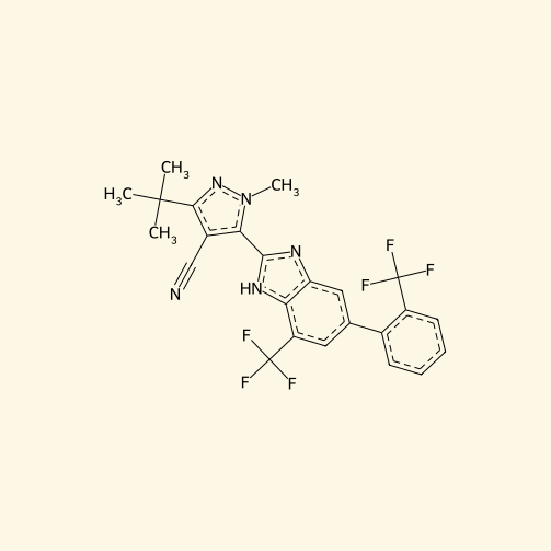 Cn1nc(C(C)(C)C)c(C#N)c1-c1nc2cc(-c3ccccc3C(F)(F)F)cc(C(F)(F)F)c2[nH]1